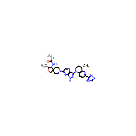 C[C@@H]1OCC2(CCN(c3cnc4c(N5CC[C@H](C)c6nc(-c7nnc[nH]7)ccc65)n[nH]c4n3)CC2)[C@@H]1NC(=O)OC(C)(C)C